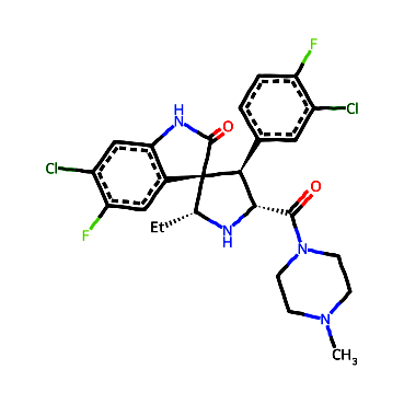 CC[C@H]1N[C@@H](C(=O)N2CCN(C)CC2)[C@H](c2ccc(F)c(Cl)c2)[C@@]12C(=O)Nc1cc(Cl)c(F)cc12